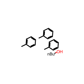 CCCCO.Cc1ccccc1.Cc1ccccc1.Cc1ccccc1